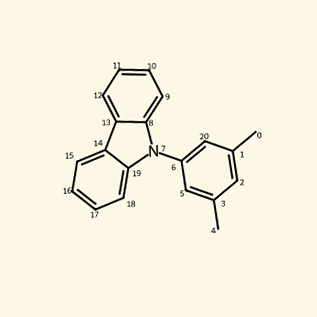 Cc1cc(C)cc(-n2c3ccccc3c3ccccc32)c1